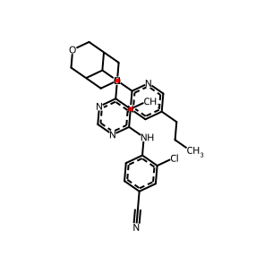 CCCc1cnc(N2CC3COCC(C2)C3Oc2ncnc(Nc3ccc(C#N)cc3Cl)c2C)nc1